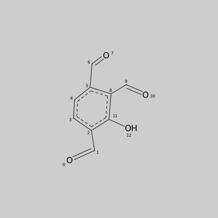 O=Cc1ccc(C=O)c(C=O)c1O